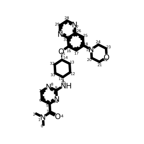 CN(C)C(=O)c1ccnc(N[C@H]2CC[C@@H](Oc3cc(N4CCOCC4)cc4nccnc34)CC2)n1